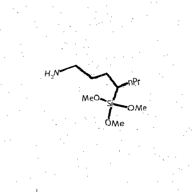 CCCC(CCCN)[Si](OC)(OC)OC